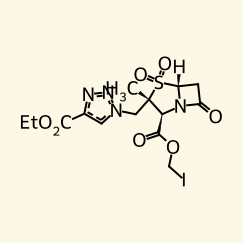 CCOC(=O)c1cn(C[C@@]2(C)[C@H](C(=O)OCI)N3C(=O)C[C@H]3S2(=O)=O)nn1